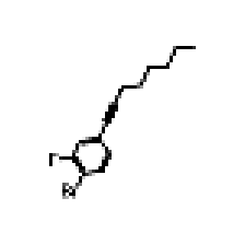 CCCCCCC#Cc1ccc(Br)c(F)c1